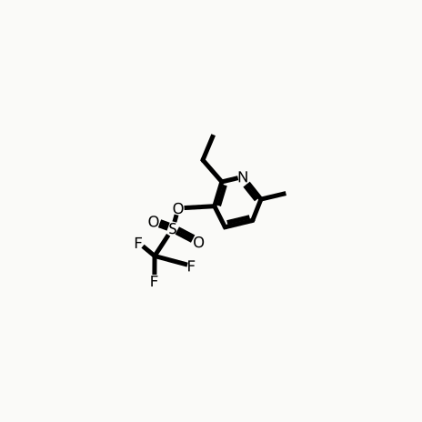 CCc1nc(C)ccc1OS(=O)(=O)C(F)(F)F